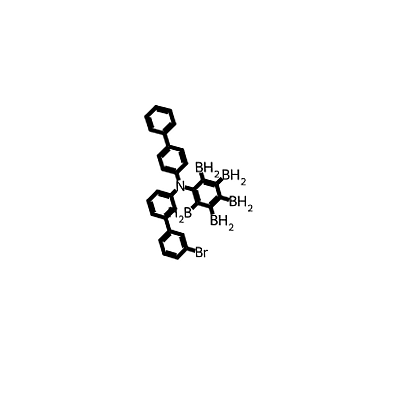 Bc1c(B)c(B)c(N(c2ccc(-c3ccccc3)cc2)c2cccc(-c3cccc(Br)c3)c2)c(B)c1B